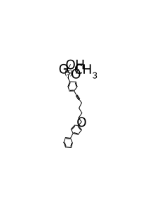 CO[C@@H](Cc1ccc(C#CCCCCOc2ccc(-c3ccccc3)cc2)cc1)C(=O)O